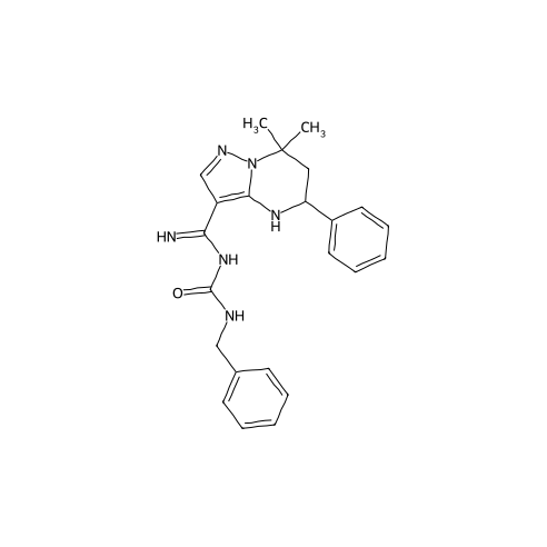 CC1(C)CC(c2ccccc2)Nc2c(C(=N)NC(=O)NCc3ccccc3)cnn21